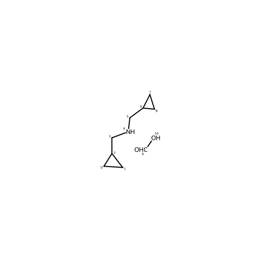 C1CC1CNCC1CC1.O=CO